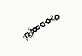 O=C1CCC(N2C(=O)c3cc4c(cc3C2=O)CN(C2CCN(c3ccc(C(=O)NC5CCCCC5)cc3)CC2)C4)C(=O)N1